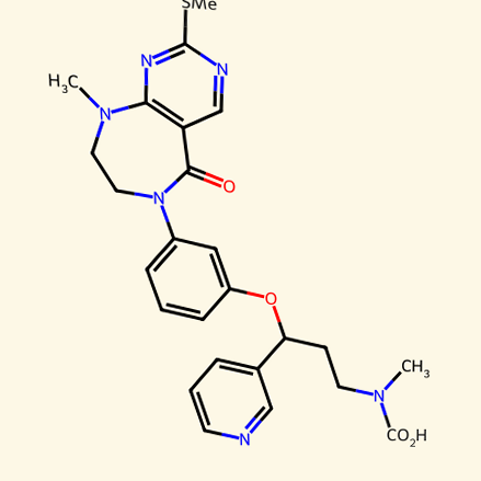 CSc1ncc2c(n1)N(C)CCN(c1cccc(OC(CCN(C)C(=O)O)c3cccnc3)c1)C2=O